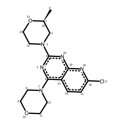 C[C@H]1CN(c2nc(N3CCOCC3)c3ccc(Cl)nc3n2)CCO1